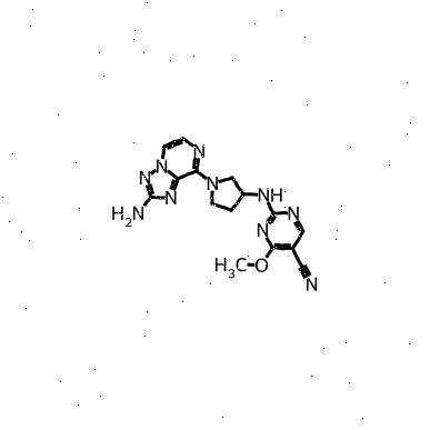 COc1nc(NC2CCN(c3nccn4nc(N)nc34)C2)ncc1C#N